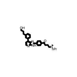 CCCN(C)CCCC(=O)c1ccc(-c2nc3c(-c4cccc(CCCO)c4)ccnc3[nH]2)cc1